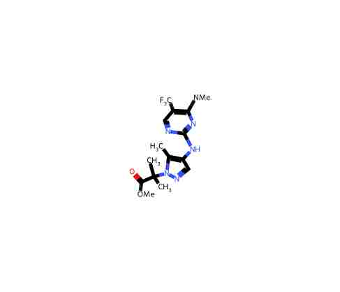 CNc1nc(Nc2cnn(C(C)(C)C(=O)OC)c2C)ncc1C(F)(F)F